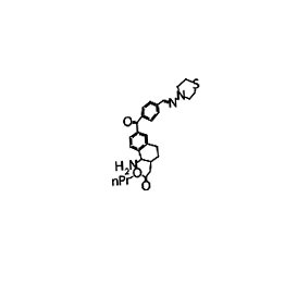 CCCOC(=O)CC1CCc2cc(C(=O)c3ccc(C=NN4CCSCC4)cc3)ccc2C1N